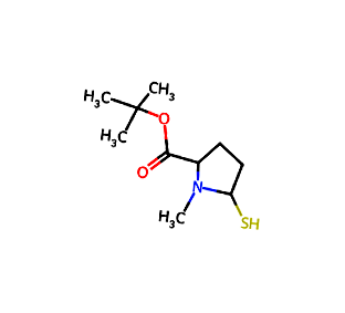 CN1C(S)CCC1C(=O)OC(C)(C)C